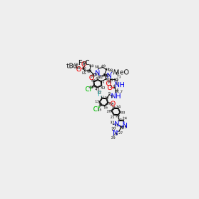 COC[C@H](NC(=O)[C@H](C)NCc1c(F)cc(Cl)cc1Oc1ccc(-c2cnc(CN(C)C)n2C)cc1)C(=O)N(C)[C@@]1(Cc2ccc(Cl)cc2)CCCN(C(=O)[C@@H](CC(=O)OC(C)(C)C)CC(F)(F)F)C1